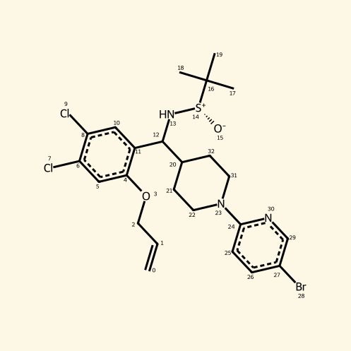 C=CCOc1cc(Cl)c(Cl)cc1C(N[S@@+]([O-])C(C)(C)C)C1CCN(c2ccc(Br)cn2)CC1